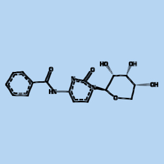 O=C(Nc1ccn([C@@H]2OC[C@@H](O)[C@@H](O)[C@H]2O)c(=O)n1)c1ccccc1